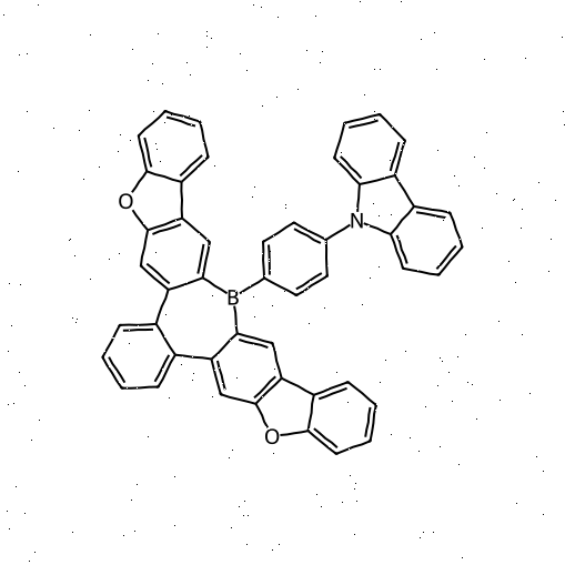 c1ccc2c(c1)-c1cc3oc4ccccc4c3cc1B(c1ccc(-n3c4ccccc4c4ccccc43)cc1)c1cc3c(cc1-2)oc1ccccc13